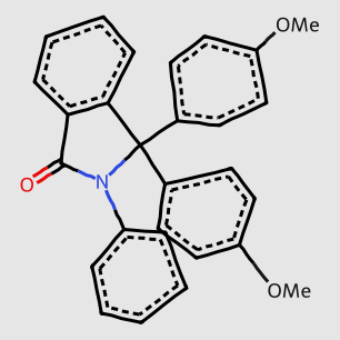 COc1ccc(C2(c3ccc(OC)cc3)c3ccccc3C(=O)N2c2ccccc2)cc1